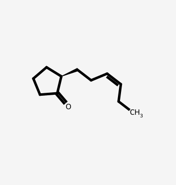 CC/C=C\CC[C@@H]1CCCC1=O